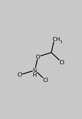 CC(Cl)O[SiH](Cl)Cl